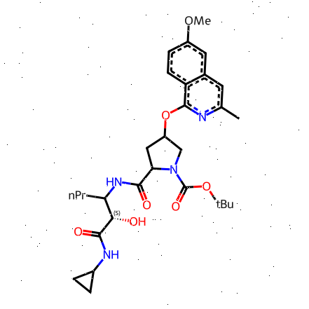 CCCC(NC(=O)C1CC(Oc2nc(C)cc3cc(OC)ccc23)CN1C(=O)OC(C)(C)C)[C@H](O)C(=O)NC1CC1